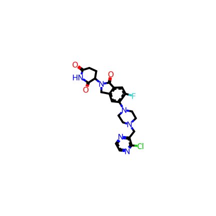 O=C1CCC(N2Cc3cc(N4CCN(Cc5nccnc5Cl)CC4)c(F)cc3C2=O)C(=O)N1